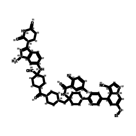 CCOc1cc(-c2ccc(N3CCC(CN4CCN(C(=O)C5CCC(C=O)(Nc6ccc7c(N8CCC(=O)NC8=O)nn(C)c7c6)CC5)CC4)(NC(=O)c4cc(F)ccc4F)CC3)nc2)c2c(C#N)cnn2c1